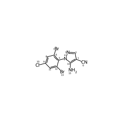 N#Cc1cnn(-c2c(Br)cc(Cl)cc2Br)c1N